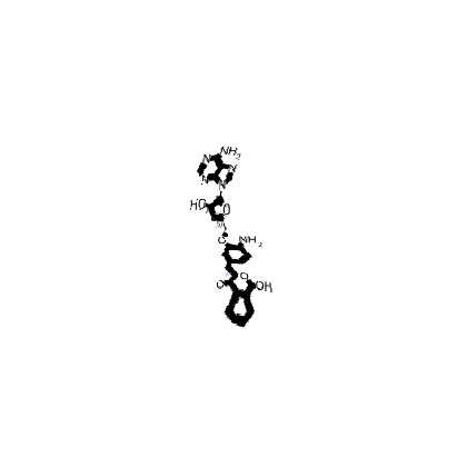 Nc1ccc(/C=C/C(=O)c2ccccc2C(=O)O)cc1OC[C@@H]1C[C@@H](O)[C@H](n2cnc3c(N)ncnc32)O1